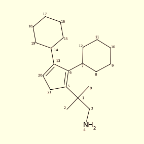 CC(C)(CN)C1=C(C2CCCCC2)C(C2CCCCC2)=CC1